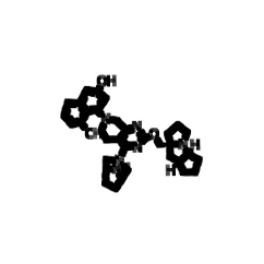 Cc1cccc2cc(O)cc(N3CCc4c(nc(OC[C@@]56CCCN5[C@@H]5CCC[C@@H]5C6)nc4N4CC5CCC(C4)N5)C3)c12